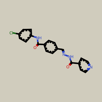 O=C(N/N=C/c1ccc(C(=O)Nc2ccc(Cl)cc2)cc1)c1ccncc1